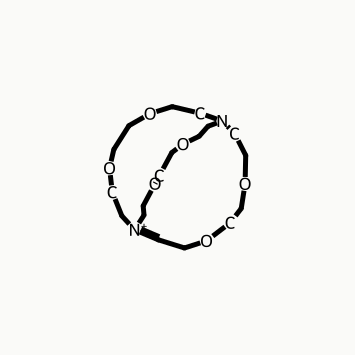 C1=[N+]2CCOCCOCCN(CCOCCOC1)CCOCCOCC2